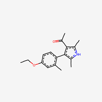 CCOc1ccc(-c2c(C)[nH]c(C)c2C(C)=O)c(C)c1